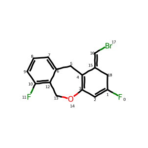 FC1=CC2=C(Cc3cccc(F)c3CO2)C(=CBr)C1